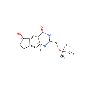 CC(C)(C)OCC1=N[C@H]2C=C3CC[C@@H](O)C3=CC2C(=O)N1